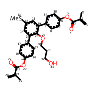 C=C(C)C(=O)Oc1ccc(-c2cc(SC)cc(-c3ccc(OC(=O)C(=C)C)cc3)c2OCCCO)cc1